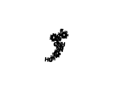 O=C(Nc1nnc(N2CCN(CCO)CC2)s1)c1nn(Cc2ccccc2F)c2ncccc12